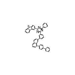 c1ccc(-c2ccc(-c3cccc4ccc(-c5cccc(-c6nc(-c7ccccc7)nc(-c7ccc8sc9ccccc9c8c7)n6)c5)cc34)cc2)cc1